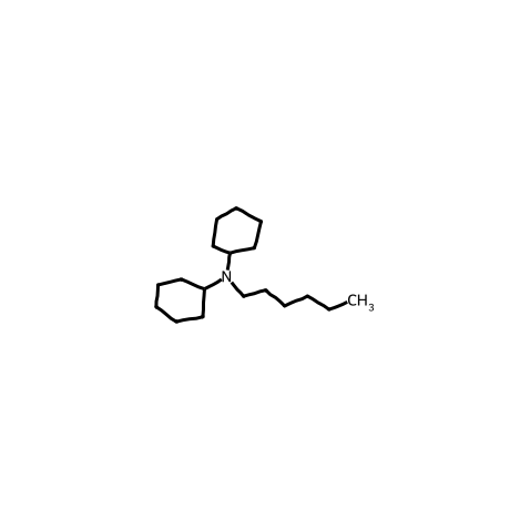 CCCCCCN(C1CCCCC1)C1CCCCC1